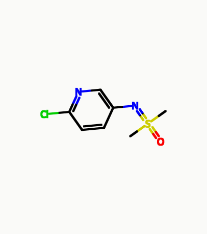 CS(C)(=O)=Nc1ccc(Cl)nc1